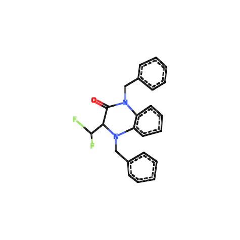 O=C1C(C(F)F)N(Cc2ccccc2)c2ccccc2N1Cc1ccccc1